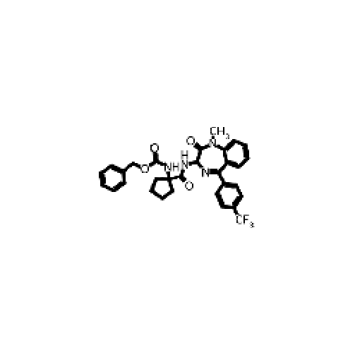 CN1C(=O)C(NC(=O)C2(NC(=O)OCc3ccccc3)CCCC2)N=C(c2ccc(C(F)(F)F)cc2)c2ccccc21